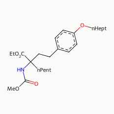 CCCCCCCOc1ccc(CCC(CCCCC)(NC(=O)OC)C(=O)OCC)cc1